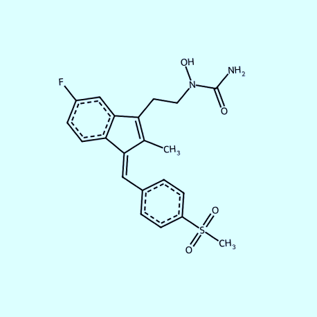 CC1=C(CCN(O)C(N)=O)c2cc(F)ccc2/C1=C/c1ccc(S(C)(=O)=O)cc1